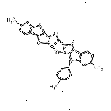 Cc1ccc(-n2c3cc(C)ccc3c3sc4c5oc6c(oc7c8ccc(C)cc8sc76)c5oc4c32)cc1